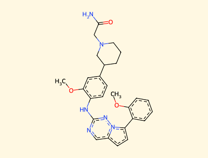 COc1cc(C2CCCN(CC(N)=O)C2)ccc1Nc1ncc2ccc(-c3ccccc3OC)n2n1